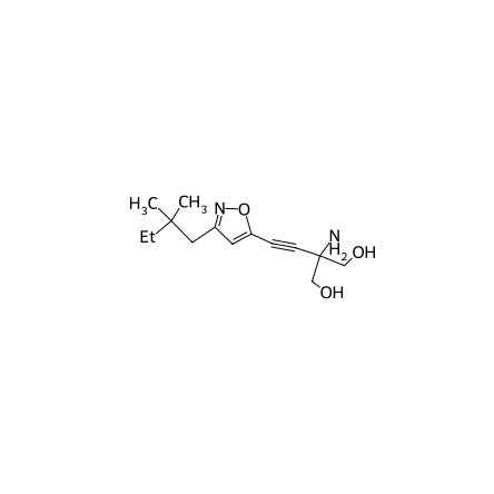 CCC(C)(C)Cc1cc(C#CC(N)(CO)CO)on1